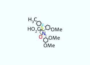 COc1ccc(CN2C(=O)C[C@](Sc3ccc(C)cc3)(C(=O)O)C2c2cc(OC)ccc2F)c(OC)c1